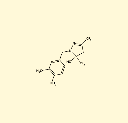 Cc1cc(CN2N=C(C(F)(F)F)CC2(O)C(F)(F)F)ccc1N